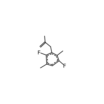 C=C(C)Cc1c(C)c(F)cc(C)c1F